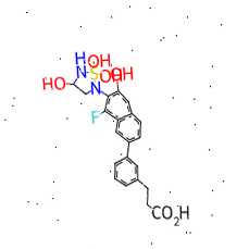 O=C(O)CCc1cccc(-c2ccc3cc(O)c(N4CC(O)NS4(O)O)c(F)c3c2)c1